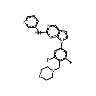 Fc1cc(-n2ccc3cnc(Nc4cccnc4)nc32)cc(F)c1CN1CCOCC1